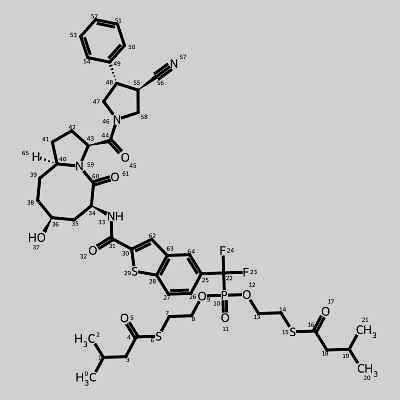 CC(C)CC(=O)SCCOP(=O)(OCCSC(=O)CC(C)C)C(F)(F)c1ccc2sc(C(=O)N[C@H]3C[C@@H](O)CC[C@H]4CC[C@@H](C(=O)N5C[C@H](c6ccccc6)[C@@H](C#N)C5)N4C3=O)cc2c1